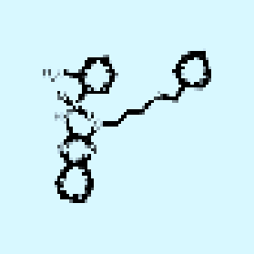 Cc1ccccc1S(=O)(=O)Nc1nc2ccccc2nc1OCCCOCc1ccccc1